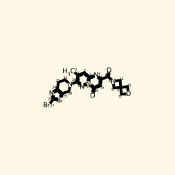 Cc1cc2nc(C(=O)N3CC4(COC4)C3)cc(=O)n2nc1N1CCc2nc(Br)sc2C1